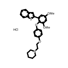 COc1cc(OC)c(Oc2ccc(OCCN3CCCCC3)cc2)c(-c2cc3ccccc3s2)c1.Cl